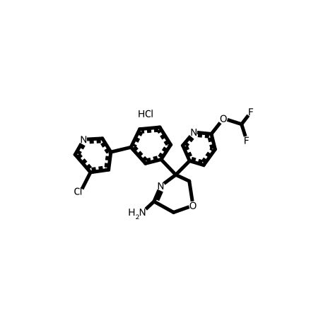 Cl.NC1=NC(c2ccc(OC(F)F)nc2)(c2cccc(-c3cncc(Cl)c3)c2)COC1